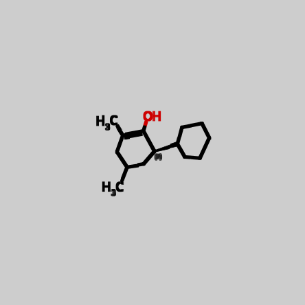 CC1=C(O)[C@@H](C2CCCCC2)CC(C)C1